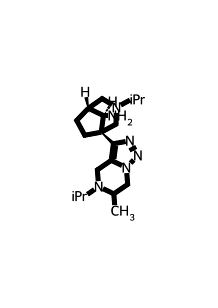 CC(C)N1C[C@H]2CC[C@@](c3nnn4c3CN(C(C)C)C(C)C4)(C1)[C@@H]2N